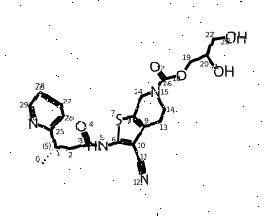 C[C@@H](CC(=O)Nc1sc2c(c1C#N)CCN(C(=O)OCC(O)CO)C2)c1ccccn1